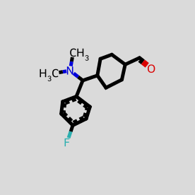 CN(C)C(c1ccc(F)cc1)C1CCC(C=O)CC1